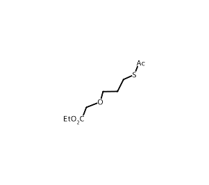 CCOC(=O)COCCCSC(C)=O